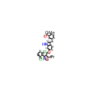 COC(=O)c1cccc(Cc2c[nH]c3cc(OCc4c(-c5c(Cl)cccc5Cl)noc4C(C)C)ccc23)c1